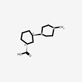 CN1CCN([C@@H]2CCC[C@@H](C(=O)O)C2)CC1